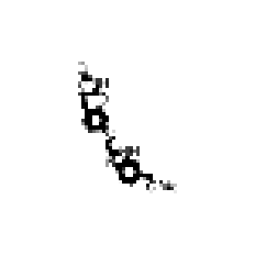 COCc1ccc2nc(COc3ccc(CC4SC(=O)NC4=O)cc3)[nH]c2c1